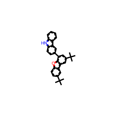 CC(C)(C)c1ccc2oc3c(-c4ccc5[nH]c6ccccc6c5c4)cc(C(C)(C)C)cc3c2c1